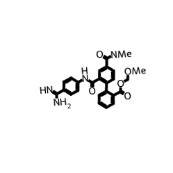 CNC(=O)c1ccc(-c2ccccc2C(=O)OCOC)c(C(=O)Nc2ccc(C(=N)N)cc2)c1